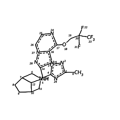 Cc1noc(N2CC3CCC(C2)C3Nc2nc3c(OCC(F)(F)C(F)(F)F)nccn3n2)n1